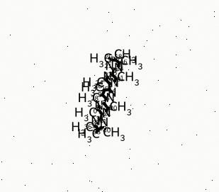 Cc1nc(-c2nnc(-c3nc(C)c(-c4nc(C)c(C)c(C)n4)nc3C)c(C)c2C)c(C)nc1-c1nc(C)c(C)c(C)n1